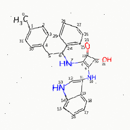 Cc1ccc(CC(NC2=C(Nc3c[nH]c4ccccc34)C(O)C2=O)c2ccccc2)cc1